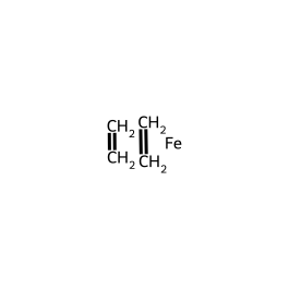 C=C.C=C.[Fe]